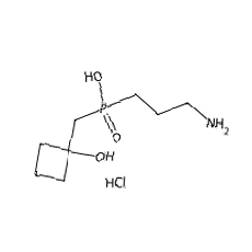 Cl.NCCCP(=O)(O)CC1(O)CCC1